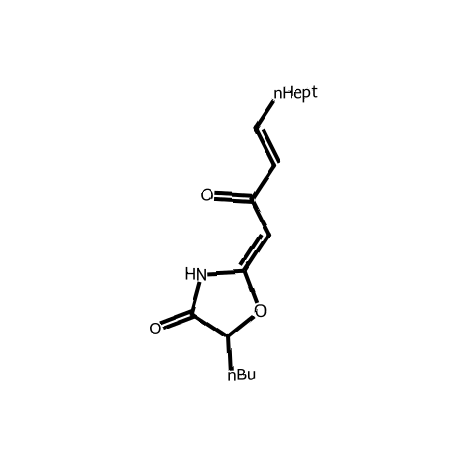 CCCCCCC/C=C/C(=O)/C=C1\NC(=O)C(CCCC)O1